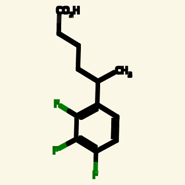 CC(CCCC(=O)O)c1ccc(F)c(F)c1F